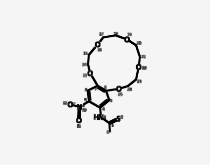 CC(=S)Nc1cc2c(cc1[N+](=O)[O-])OCCOCCOCCOCCO2